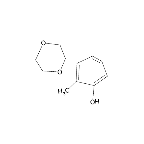 C1COCCO1.Cc1ccccc1O